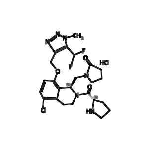 Cl.Cn1nnc(COc2ccc(Cl)c3c2[C@@H](CN2CCCC2=O)N(C(=O)[C@@H]2CCCN2)CC3)c1C(F)F